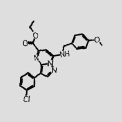 CCOC(=O)c1cc(NCc2ccc(OC)cc2)n2ncc(-c3cccc(Cl)c3)c2n1